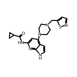 O=C(Nc1cc(N2CCN(Cc3ccns3)CC2)c2cc[nH]c2n1)C1CC1